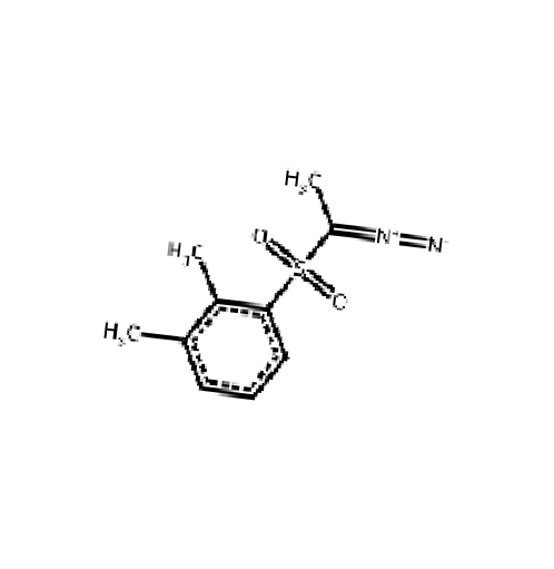 CC(=[N+]=[N-])S(=O)(=O)c1cccc(C)c1C